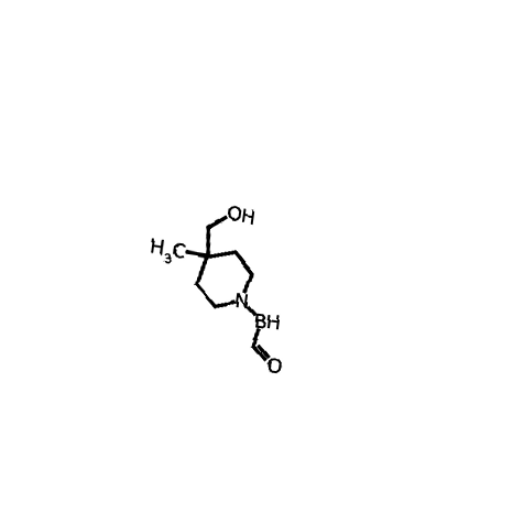 CC1(CO)CCN(BC=O)CC1